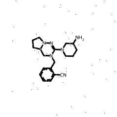 N#Cc1ccccc1CN1CC2CCCN2N=C1N1CCCC(N)C1